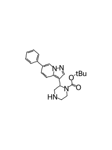 CC(C)(C)OC(=O)N1CCNCC1c1cnn2cc(-c3ccccc3)ccc12